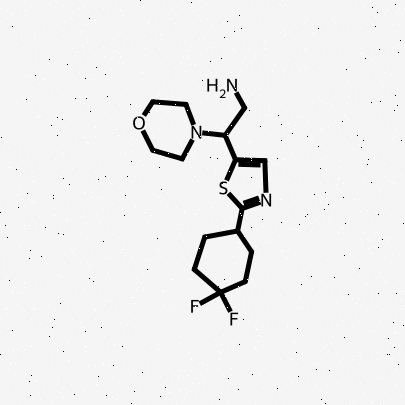 NCC(c1cnc(C2CCC(F)(F)CC2)s1)N1CCOCC1